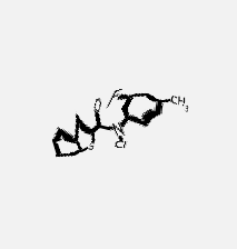 Cc1ccc(N(Cl)C(=O)c2cc3ccccc3s2)c(F)c1